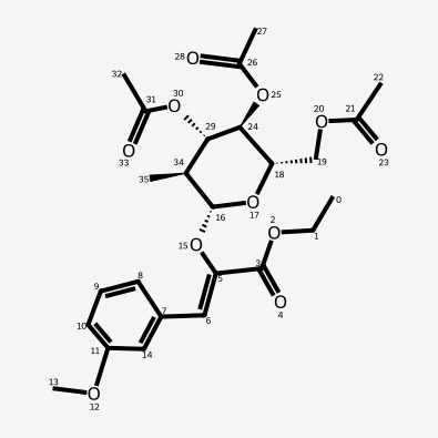 CCOC(=O)/C(=C/c1cccc(OC)c1)O[C@H]1O[C@@H](COC(C)=O)[C@H](OC(C)=O)[C@@H](OC(C)=O)[C@@H]1C